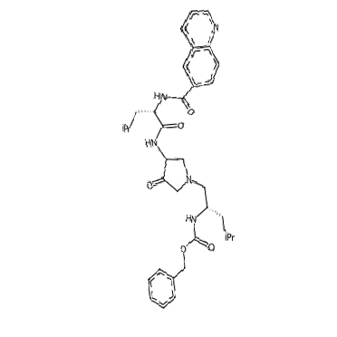 CC(C)C[C@@H](CN1CC(=O)C(NC(=O)[C@H](CC(C)C)NC(=O)c2ccc3ncccc3c2)C1)NC(=O)OCc1ccccc1